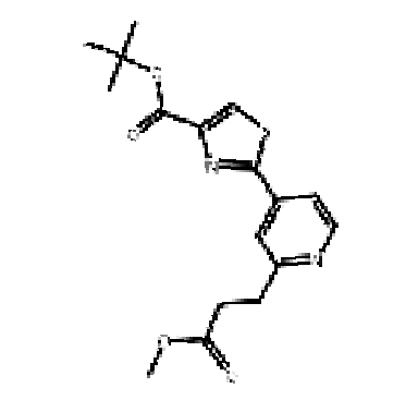 COC(=O)CCc1cc(-c2nc(C(=O)OC(C)(C)C)cs2)ccn1